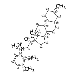 Cc1cccc(N(N)CC(=O)C2CCC3C4CCC5CC(C)CCC5C4CCC23C)c1N